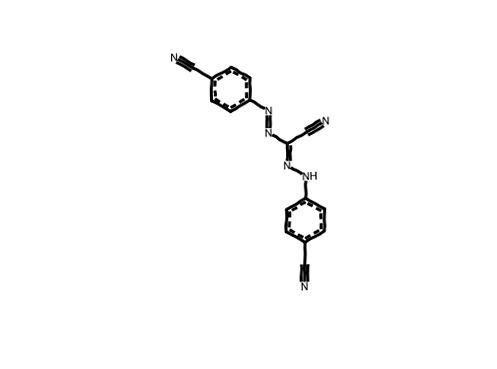 N#CC(/N=N/c1ccc(C#N)cc1)=N\Nc1ccc(C#N)cc1